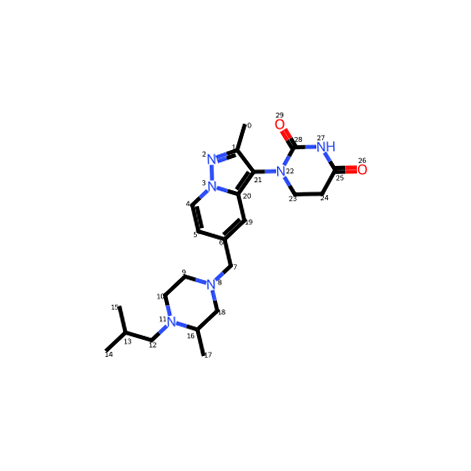 Cc1nn2ccc(CN3CCN(CC(C)C)C(C)C3)cc2c1N1CCC(=O)NC1=O